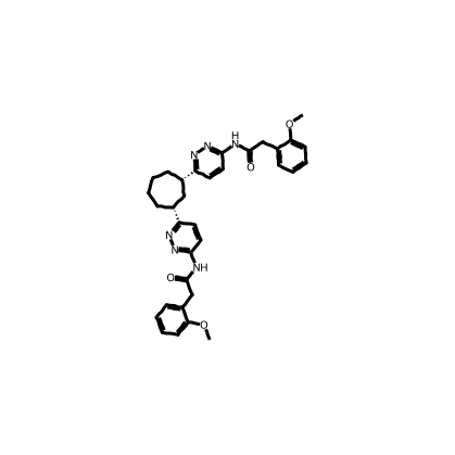 COc1ccccc1CC(=O)Nc1ccc([C@@H]2CCCC[C@H](c3ccc(NC(=O)Cc4ccccc4OC)nn3)C2)nn1